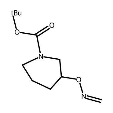 C=NOC1CCCN(C(=O)OC(C)(C)C)C1